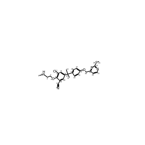 CNCCOc1c(Cl)cc(C(C)(C)c2ccc(OCc3ccnc(SC)n3)cc2)cc1C#N